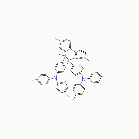 Cc1ccc(N(c2ccc(C)cc2)c2ccc(C3(C)c4cc(C)ccc4-c4ccc(C)cc4C3(C)c3ccc(N(c4ccc(C)cc4)c4ccc(C)cc4)cc3)cc2)cc1